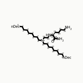 CCCCCCCCCCCCCCCCCCN(CCCCCCCCCCCCCCCCCC)CCN[C@@H](CCCCN)C(N)=O